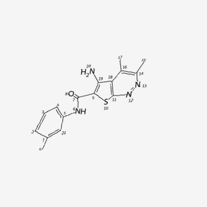 Cc1cccc(NC(=O)c2sc3nnc(C)c(C)c3c2N)c1